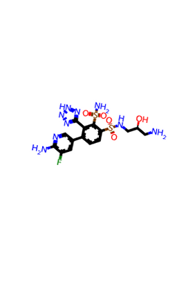 NC[C@H](O)CNS(=O)(=O)c1ccc(-c2cnc(N)c(F)c2)c(-c2nn[nH]n2)c1S(N)(=O)=O